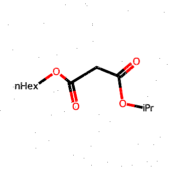 CCCCCCOC(=O)CC(=O)OC(C)C